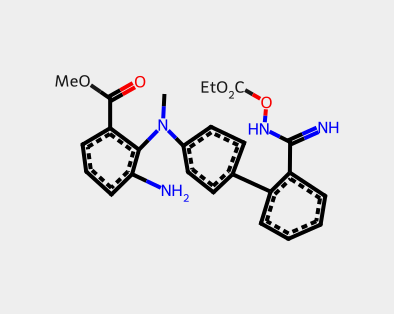 CCOC(=O)ONC(=N)c1ccccc1-c1ccc(N(C)c2c(N)cccc2C(=O)OC)cc1